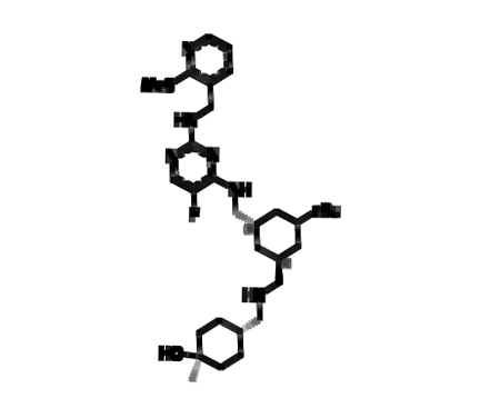 CCCCC1C[C@@H](CNC[C@H]2CC[C@](C)(O)CC2)C[C@H](CNc2nc(NCc3cccnc3SC)ncc2F)C1